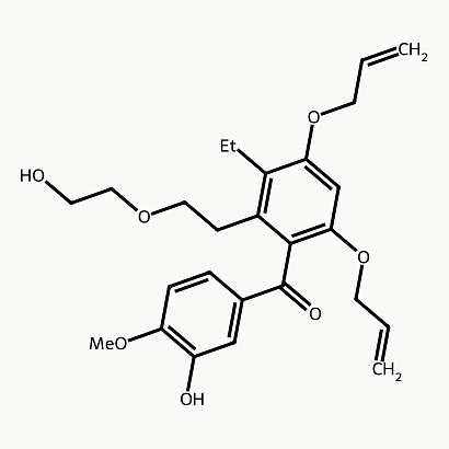 C=CCOc1cc(OCC=C)c(C(=O)c2ccc(OC)c(O)c2)c(CCOCCO)c1CC